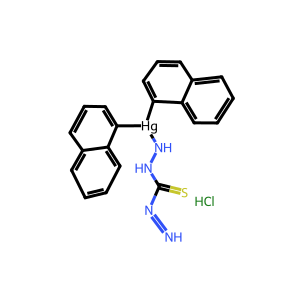 Cl.N=NC(=S)N[NH][Hg]([c]1cccc2ccccc12)[c]1cccc2ccccc12